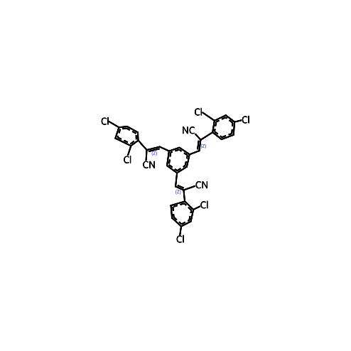 N#C/C(=C\c1cc(/C=C(\C#N)c2ccc(Cl)cc2Cl)cc(/C=C(\C#N)c2ccc(Cl)cc2Cl)c1)c1ccc(Cl)cc1Cl